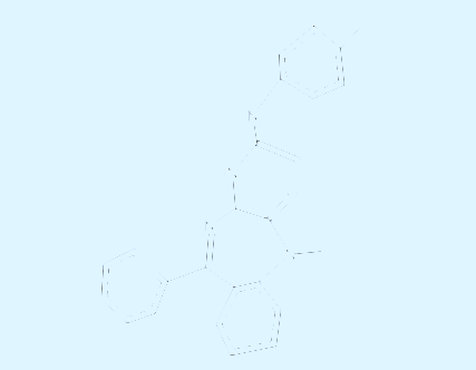 CN1C(=O)C(NC(=S)Nc2ccc(Cl)cc2)N=C(c2ccccc2)c2ccccc21